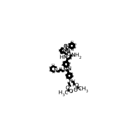 CC(=O)OCCN(CCOC(C)=O)c1ccc(-c2nc3cc(C(CC(N)=O)NCc4cccn4S(=O)(=O)c4ccccc4)ccc3n2CCCN2CCCCC2)cc1